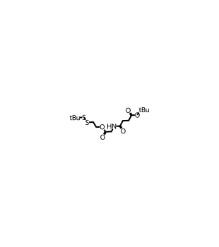 CC(C)(C)OC(=O)CCC(=O)NCC(=O)OCCSSC(C)(C)C